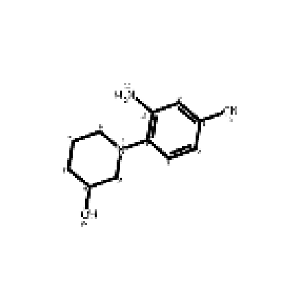 N#Cc1ccc(N2CCCC(O)C2)c(N)c1